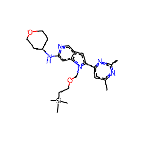 Cc1cc(-c2cc3cnc(NC4CCOCC4)cc3n2COCC[Si](C)(C)C)nc(C)n1